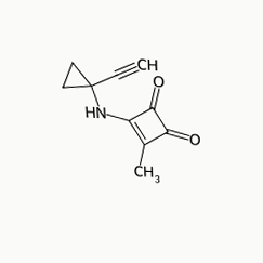 C#CC1(Nc2c(C)c(=O)c2=O)CC1